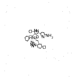 Nc1ccc(-c2cc(C(Cc3ccccc3)NC(=O)C=Cc3cc(Cl)ccc3-n3cnnn3)c(Cl)nn2)cn1